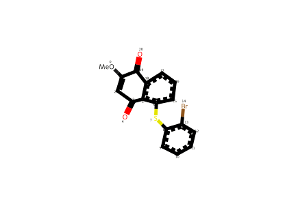 COC1=CC(=O)c2c(Sc3ccccc3Br)cccc2C1=O